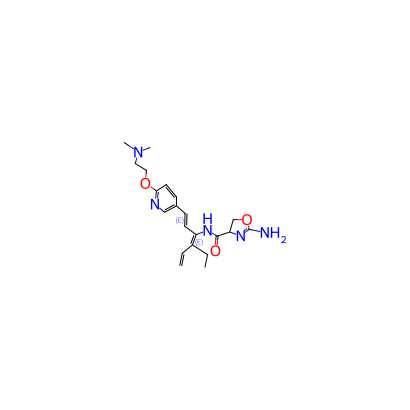 C=C/C(CC)=C(\C=C\c1ccc(OCCN(C)C)nc1)NC(=O)C1COC(N)=N1